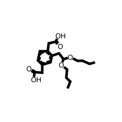 CCCCOC(Cc1cc(CC(=O)O)ccc1CC(=O)O)OCCCC